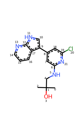 CC(C)(O)CNc1cc(-c2c[nH]c3ncccc23)cc(Cl)n1